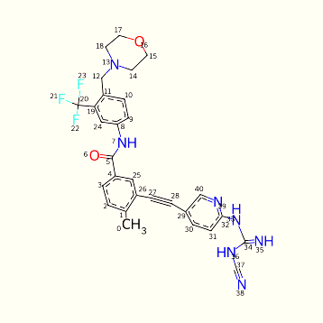 Cc1ccc(C(=O)Nc2ccc(CN3CCOCC3)c(C(F)(F)F)c2)cc1C#Cc1ccc(NC(=N)NC#N)nc1